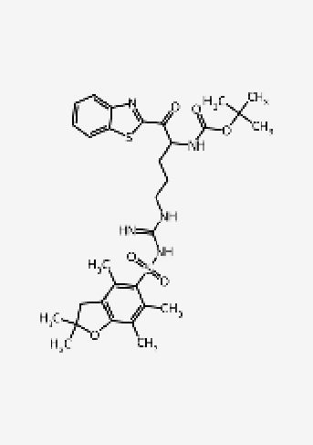 Cc1c(C)c(S(=O)(=O)NC(=N)NCCCC(NC(=O)OC(C)(C)C)C(=O)c2nc3ccccc3s2)c(C)c2c1OC(C)(C)C2